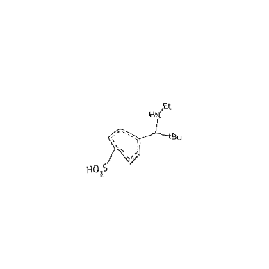 CCNC(c1ccc(S(=O)(=O)O)cc1)C(C)(C)C